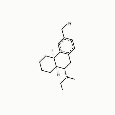 CC(C)Cc1ccc2c(c1)[C@]1(C)CCCC[C@@H]1[C@@H](N(C)CI)C2